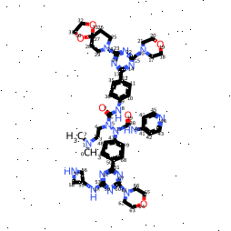 CN(C)CCN(C(=O)Nc1ccc(-c2nc(N3CCOCC3)nc(N3CCC4(CC3)OCCO4)n2)cc1)N(C(=O)Nc1ccncc1)c1ccc(-c2nc(NC3CNC3)nc(N3CCOCC3)n2)cc1